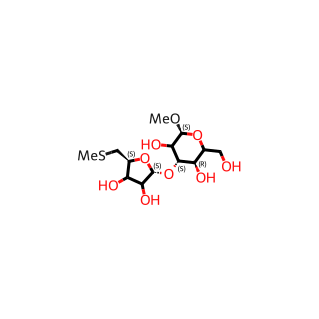 CO[C@H]1OC(CO)[C@@H](O)[C@H](O[C@H]2O[C@H](CSC)C(O)C2O)C1O